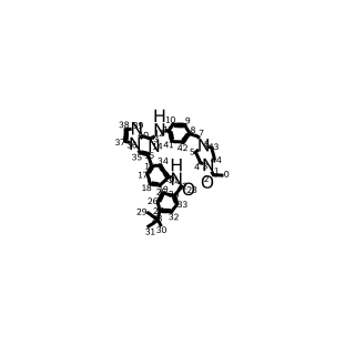 CC(=O)N1CCN(Cc2ccc(Nc3nc(-c4cccc(NC(=O)c5ccc(C(C)(C)C)cc5)c4)cn4ccnc34)cc2)CC1